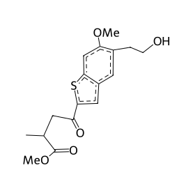 COC(=O)C(C)CC(=O)c1cc2cc(CCO)c(OC)cc2s1